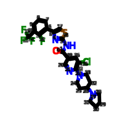 O=C(Nc1nc(-c2cccc(C(F)(F)F)c2F)cs1)c1cnc(N2CCC(N3CCCC3)CC2)c(Cl)c1